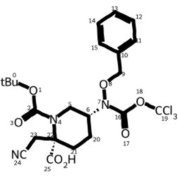 CC(C)(C)OC(=O)N1C[C@H](N(OCc2ccccc2)C(=O)OC(Cl)(Cl)Cl)CC[C@]1(CC#N)C(=O)O